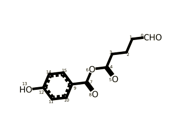 O=CCCCC(=O)OC(=O)c1ccc(O)cc1